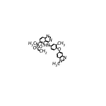 C=CS(=O)(=O)N(C)c1ccc2ncnc(Nc3ccc(Oc4ccc5c(c4)ncn5C)c(C)c3)c2n1